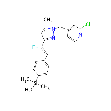 Cc1cc(/C(F)=C/c2ccc([Si](C)(C)C)cc2)nn1Cc1ccnc(Cl)c1